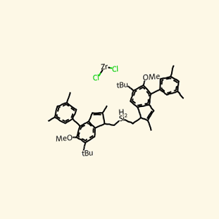 COc1c(C(C)(C)C)cc2c(c1-c1cc(C)cc(C)c1)C=C(C)C2C[SiH2]CC1C(C)=Cc2c1cc(C(C)(C)C)c(OC)c2-c1cc(C)cc(C)c1.[Cl][Zr][Cl]